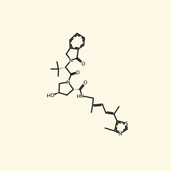 C/C(=C\C=C(/C)c1scnc1C)CNC(=O)[C@@H]1C[C@@H](O)CN1C(=O)[C@@H](N1Cc2ccccc2C1=O)C(C)(C)C